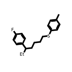 CCC(CCCCSc1ccc(C)cc1)c1ccc(F)cc1